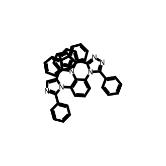 c1ccc(-c2cnc(-c3ccccc3)n2-c2cccc(-n3c(-c4ccccc4)nnc3-c3ccccc3)c2-n2c3ccccc3c3ccccc32)cc1